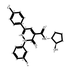 O=C(N[C@@H]1CCC[C@H]1O)c1cc(-c2ccc(Cl)cc2)nn(-c2cccc(F)c2)c1=O